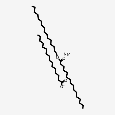 CCCCCCCCCCCCCCCC(=O)[O-].CCCCCCCCCCCCCCCCOC(=O)CCCCCCCCCCCCCCC.[Na+]